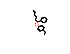 C=CCCCC(Oc1ccc(CC)cc1)c1ccccc1